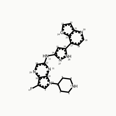 Fc1cn(C2CCNCC2)c2nc(Nc3cc(-c4ccnc5ccoc45)[nH]n3)cnc12